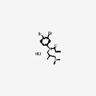 C=CC(=O)N(CC(C)CN(C)C)c1ccc(Br)c(Br)c1.Cl